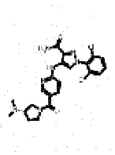 CN(C)[C@H]1CCN(C(=O)c2ccc(Nc3cn(-c4c(Cl)cccc4Cl)nc3C(N)=O)nc2)C1